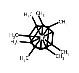 C[C]12[CH]3[C]4(C)[C]5(C)[CH]1[Fe]32451678[C]2(C)[C]1(C)[C]6(C)[C]7(C)[C]28C